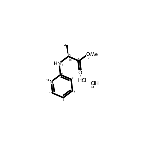 COC(=O)[C@H](C)Nc1ccccn1.Cl.Cl